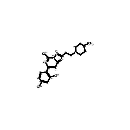 CC1CCN(CCc2nc3cc(-c4ccc(Cl)cc4Cl)nc(Cl)n3n2)CC1